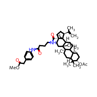 C=C(C)[C@@H]1CC[C@]2(C(=O)NCCCC(=O)Nc3ccc(CC(=O)OC)cc3)CC[C@]3(C)[C@H](CCC4[C@@]5(C)CC[C@H](OC(C)=O)C(C)(C)[C@@H]5CC[C@]43C)[C@@H]12